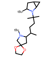 CC(CCC(C)(C)N1C2CC2CC1C(C)(C)C)C1CC2(CN1C(C)(C)C)OCCO2